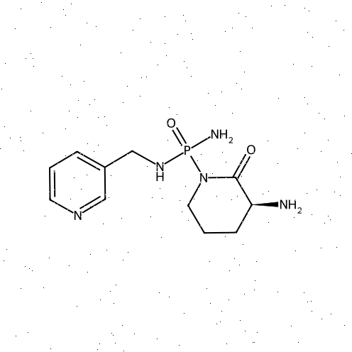 N[C@H]1CCCN(P(N)(=O)NCc2cccnc2)C1=O